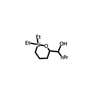 CCCC(O)C1CCC[Si](CC)(CC)O1